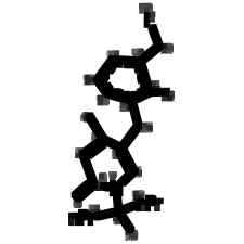 C=C/C=C(C)\C(=C/N(C)C(C)(CCC)CCC)Cc1cccc(CF)c1C